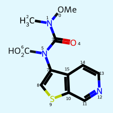 CON(C)C(=O)N(C(=O)O)c1csc2cnccc12